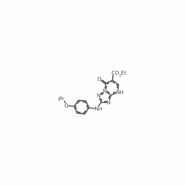 CCOC(=O)c1c[nH]c2nc(Nc3ccc(OC(C)C)cc3)nn2c1=O